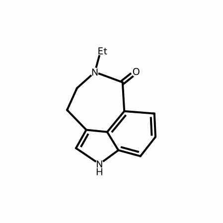 CCN1CCc2c[nH]c3cccc(c23)C1=O